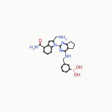 NCc1cc2c(C(N)=O)cccc2n1-c1nc2c(c(NCc3cccc(B(O)O)c3)n1)CCC2